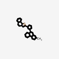 Cc1ccc2c(c1)cc(-c1cccc(C3=CC4C=Cc5ccccc5C4S3)c1)c1ccccc12